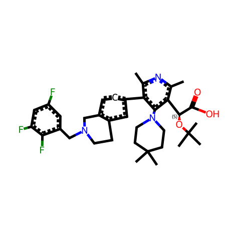 Cc1nc(C)c([C@H](OC(C)(C)C)C(=O)O)c(N2CCC(C)(C)CC2)c1-c1ccc2c(c1)CCN(Cc1cc(F)cc(F)c1F)C2